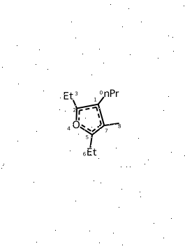 CCCc1c(CC)oc(CC)c1C